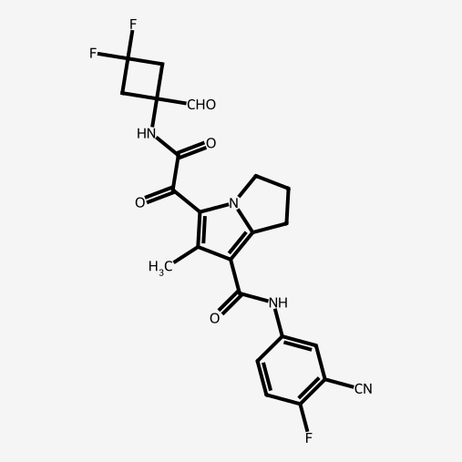 Cc1c(C(=O)Nc2ccc(F)c(C#N)c2)c2n(c1C(=O)C(=O)NC1(C=O)CC(F)(F)C1)CCC2